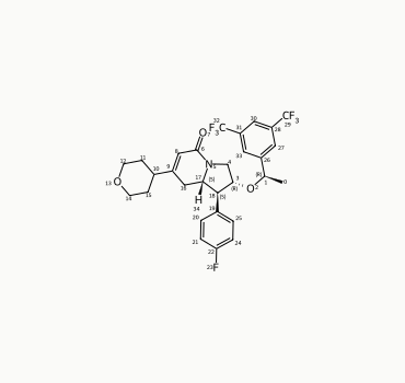 C[C@@H](O[C@H]1CN2C(=O)C=C(C3CCOCC3)C[C@H]2[C@@H]1c1ccc(F)cc1)c1cc(C(F)(F)F)cc(C(F)(F)F)c1